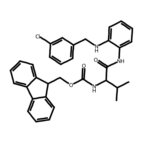 CC(C)C(NC(=O)OCC1c2ccccc2-c2ccccc21)C(=O)Nc1ccccc1NCc1cccc(Cl)c1